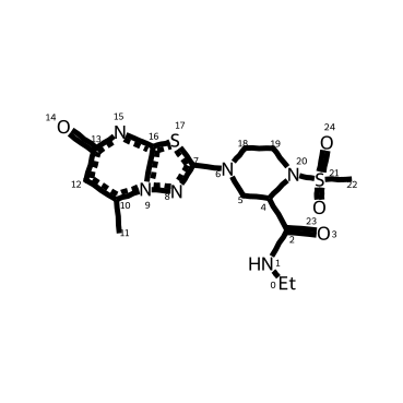 CCNC(=O)C1CN(c2nn3c(C)cc(=O)nc3s2)CCN1S(C)(=O)=O